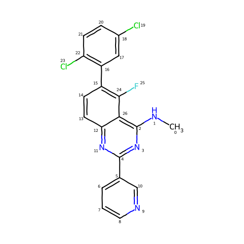 CNc1nc(-c2cccnc2)nc2ccc(-c3cc(Cl)ccc3Cl)c(F)c12